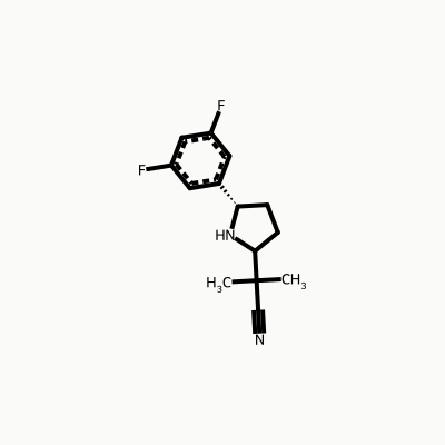 CC(C)(C#N)C1CC[C@@H](c2cc(F)cc(F)c2)N1